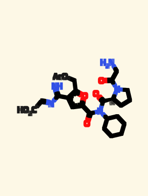 CC(=O)OCc1oc(C(=O)N(C(=O)[C@@H]2CCCN2C(=O)CN)C2CCCCC2)cc1C(=N)N=CC(=O)O